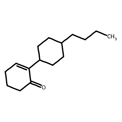 CCCCC1CCC(C2=CCCCC2=O)CC1